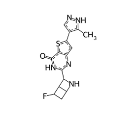 Cc1[nH]ncc1-c1cc2nc(C3NC4CC(F)C43)[nH]c(=O)c2s1